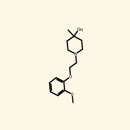 COc1ccccc1OCCN1CCC(C)(O)CC1